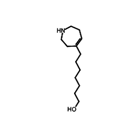 OCCCCCCCC1=CCCNCC1